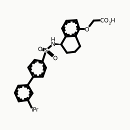 CC(C)c1cccc(-c2ccc(S(=O)(=O)N[C@@H]3CCCc4c(OCC(=O)O)cccc43)cc2)c1